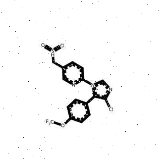 O=[SH](=O)Cc1ccc(-n2cnc(Cl)c2-c2ccc(OC(F)(F)F)cc2)nc1